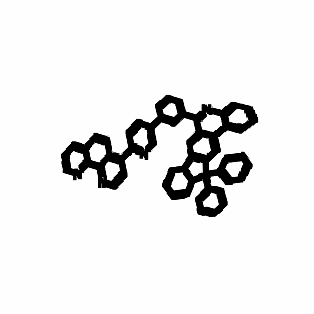 C1=CC2c3cc4c(-c5cccc(-c6ccc(-c7ccnc8c7ccc7cccnc78)nc6)c5)nc5ccccc5c4cc3C(c3ccccc3)(c3ccccc3)C2C=C1